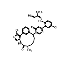 CC1CCCC(n2cnc(-c3cc(Cl)ccc3N/C=C(\C=N)C(=O)O)cc2=O)c2cccc(c2)-c2c(cnn2C)NC1=O